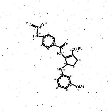 CCOC(=O)C1=C(NC(=O)c2ccc(N[SH](=O)=O)cc2)C(Nc2cccc(OC)c2)CC1